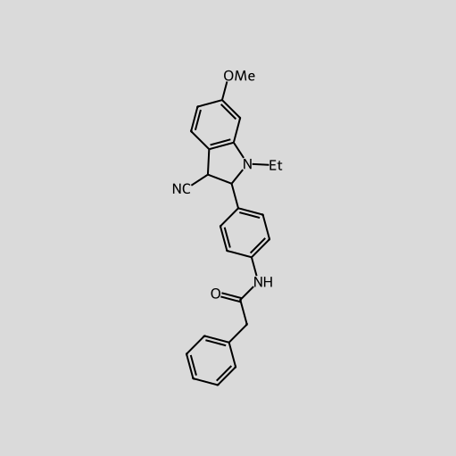 CCN1c2cc(OC)ccc2C(C#N)C1c1ccc(NC(=O)Cc2ccccc2)cc1